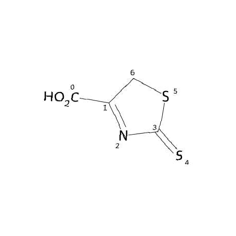 O=C(O)C1=NC(=S)SC1